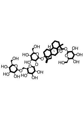 C=C1C[C@]23CC[C@H]4C(C)(C(=O)O[C@@H]5O[C@H](CO)[C@@H](O)[C@H](O)[C@H]5O)CCC[C@]4(C)[C@H]2CC[C@]1(O[C@@H]1O[C@H](CO)[C@@H](O)[C@H](O)[C@H]1O[C@H]1O[C@H](CO[C@@H]2O[C@H](CO)[C@@H](O)[C@H](O)[C@H]2O)[C@@H](O)[C@H](O)[C@H]1O)C3